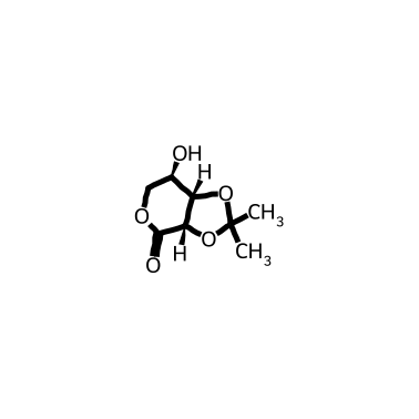 CC1(C)O[C@H]2[C@H](O)COC(=O)[C@H]2O1